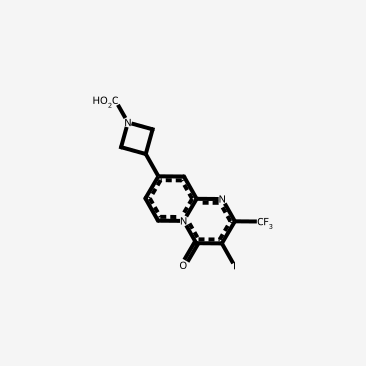 O=C(O)N1CC(c2ccn3c(=O)c(I)c(C(F)(F)F)nc3c2)C1